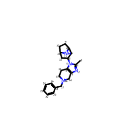 Cc1nc2c(n1C1CC3CCC(C1)N3)CCN(Cc1ccccc1)C2